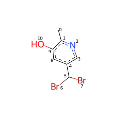 Cc1ncc(C(Br)Br)cc1O